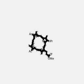 CCCC1=C(C)c2cc3[nH]c(cc4nc(cc5[nH]c(cc1n2)c(CCC(=O)OC)c5C)C(C(C)=O)=C4C)c(C(C)=O)c3C